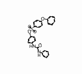 O=C(Nc1ccccc1)Nc1ccc(OS(=O)(=O)c2ccc(Oc3ccccc3)cc2)cc1